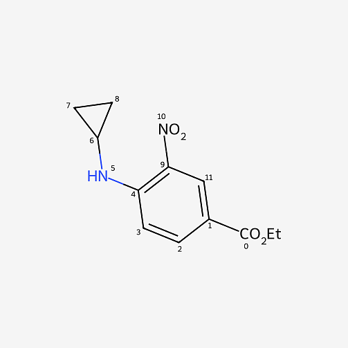 CCOC(=O)c1ccc(NC2CC2)c([N+](=O)[O-])c1